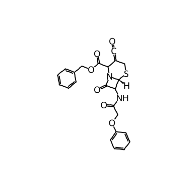 O=C=C1CS[C@@H]2C(NC(=O)COc3ccccc3)C(=O)N2C1C(=O)OCc1ccccc1